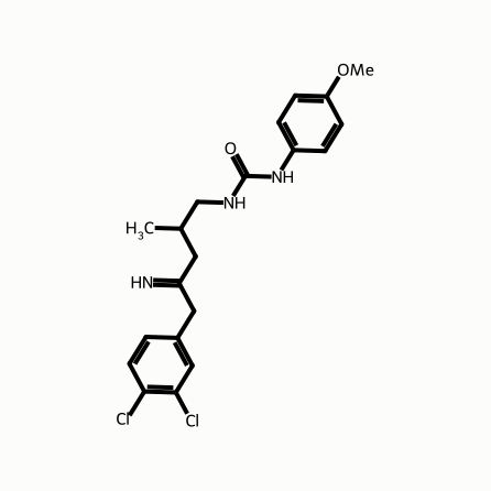 COc1ccc(NC(=O)NCC(C)CC(=N)Cc2ccc(Cl)c(Cl)c2)cc1